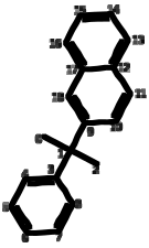 CC(C)(c1ccccc1)c1ccc2ccccc2c1